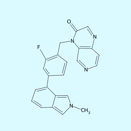 Cn1cc2cccc(-c3ccc(Cn4c(=O)cnc5ccncc54)c(F)c3)c2c1